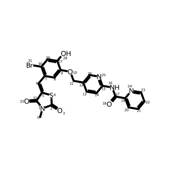 CN1C(=O)S/C(=C\c2cc(OCc3ccc(NC(=O)c4ccccn4)nc3)c(O)cc2Br)C1=O